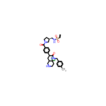 C=CS(=O)(=O)NC[C@@H]1CCN(C(=O)c2ccc(C(CC3CNCCC3(F)F)C(=O)NCc3ccc(C(F)(F)F)cc3)cc2)C1